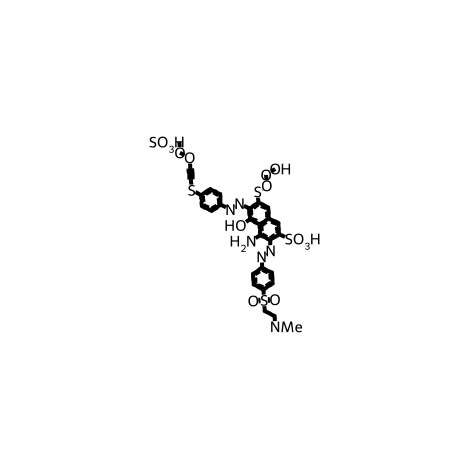 CNCCS(=O)(=O)c1ccc(N=Nc2c(S(=O)(=O)O)cc3cc(SOOO)c(N=Nc4ccc(SC#COOS(=O)(=O)O)cc4)c(O)c3c2N)cc1